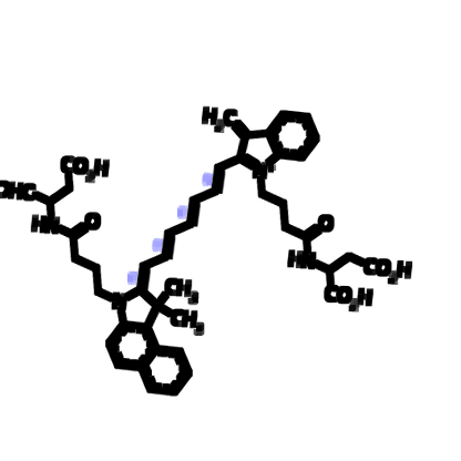 C=C1C(/C=C/C=C/C=C/C=C2/N(CCCC(=O)NC(C=O)CC(=O)O)c3ccc4ccccc4c3C2(C)C)=[N+](CCCC(=O)NC(CC(=O)O)C(=O)O)c2ccccc21